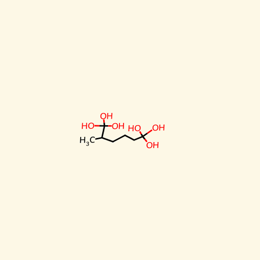 CC(CCCC(O)(O)O)C(O)(O)O